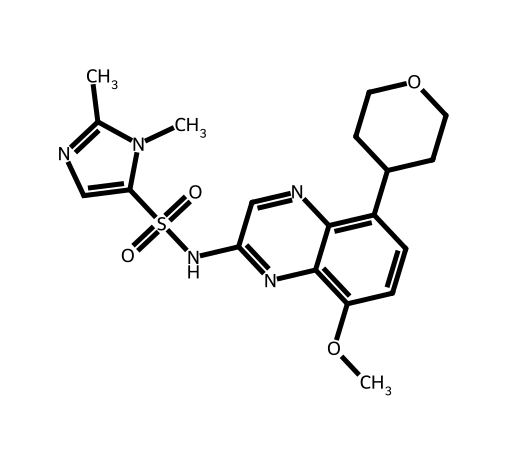 COc1ccc(C2CCOCC2)c2ncc(NS(=O)(=O)c3cnc(C)n3C)nc12